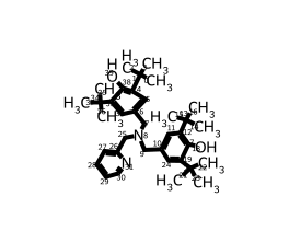 CC(C)(C)c1cc(CN(Cc2cc(C(C)(C)C)c(O)c(C(C)(C)C)c2)Cc2ccccn2)cc(C(C)(C)C)c1O